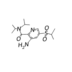 CC(C)N(C(=O)c1ncc(S(=O)(=O)C(C)C)cc1N)C(C)C